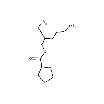 CCCCC(CC)COC(=O)C1CCCS1